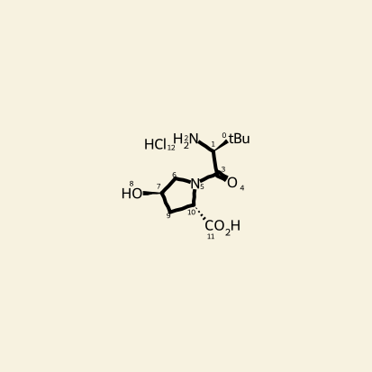 CC(C)(C)[C@H](N)C(=O)N1C[C@H](O)C[C@H]1C(=O)O.Cl